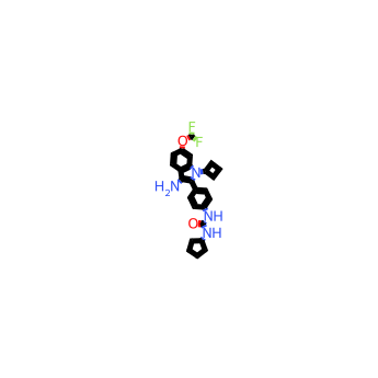 Nc1c(-c2ccc(NC(=O)NC3CCCC3)cc2)n(C2CCC2)c2cc(OC(F)F)ccc12